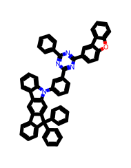 c1ccc(-c2nc(-c3cccc(-n4c5ccccc5c5cc6c(cc54)C(c4ccccc4)(c4ccccc4)c4ccccc4-6)c3)nc(-c3ccc4oc5ccccc5c4c3)n2)cc1